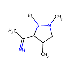 CCN1C(C(C)=N)C(C)CN1C